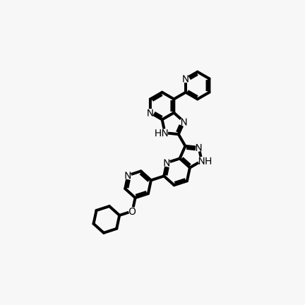 c1ccc(-c2ccnc3[nH]c(-c4n[nH]c5ccc(-c6cncc(OC7CCCCC7)c6)nc45)nc23)nc1